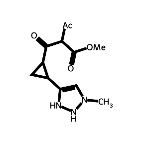 COC(=O)C(C(C)=O)C(=O)C1CC1C1=CN(C)NN1